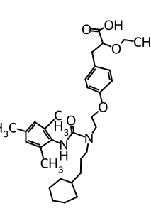 CCOC(Cc1ccc(OCCN(CCCC2CCCCC2)C(=O)Nc2c(C)cc(C)cc2C)cc1)C(=O)O